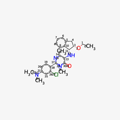 CCO[C@H]1Cc2ccccc2[C@H]1Nc1c(C)nc(-c2ccc(N(C)C)cc2Cl)n(C)c1=O